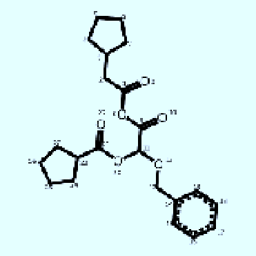 O=C(CC1CCCC1)OC(=O)C(OCc1ccccc1)OC(=O)C1CCCC1